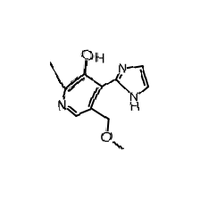 COCc1cnc(C)c(O)c1-c1ncc[nH]1